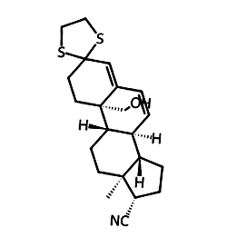 C[C@]12CC[C@H]3[C@@H](C=CC4=CC5(CC[C@@]43CO)SCCS5)[C@@H]1CC[C@@H]2C#N